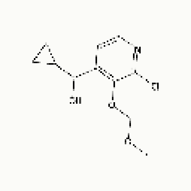 COCOc1c(C(O)C2CC2)ccnc1Cl